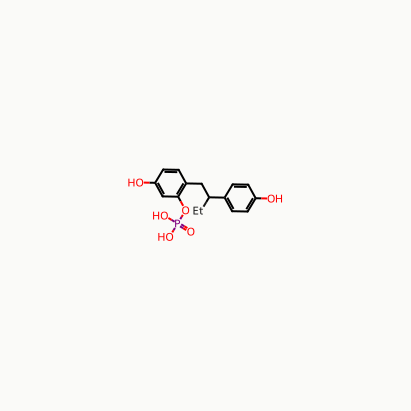 CCC(Cc1ccc(O)cc1OP(=O)(O)O)c1ccc(O)cc1